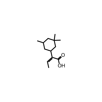 CC=C(C(=O)O)C1CC(C)CC(C)(C)C1